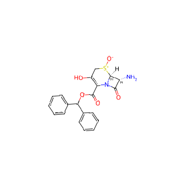 N[C@@H]1C(=O)N2C(C(=O)OC(c3ccccc3)c3ccccc3)=C(O)C[S+]([O-])[C@@H]12